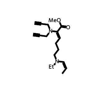 C#CCN(CC#C)/C(=C\CCCN(/C=C\C)CC)C(=O)OC